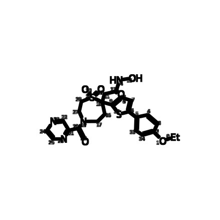 CCOc1ccc(-c2ccc(C3(CC(=O)NO)CCN(C(=O)c4cnccn4)CCS3(=O)=O)s2)cc1